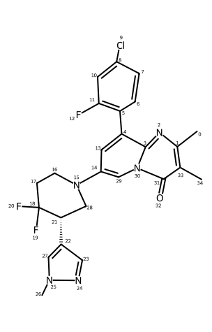 Cc1nc2c(-c3ccc(Cl)cc3F)cc(N3CCC(F)(F)[C@@H](c4cnn(C)c4)C3)cn2c(=O)c1C